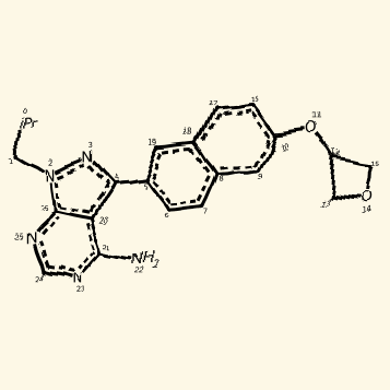 CC(C)Cn1nc(-c2ccc3cc(OC4COC4)ccc3c2)c2c(N)ncnc21